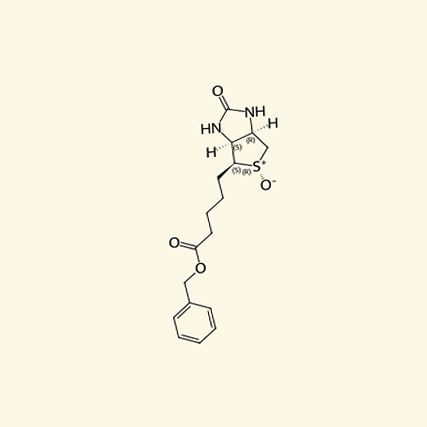 O=C1N[C@H]2[C@H](C[S@+]([O-])[C@H]2CCCCC(=O)OCc2ccccc2)N1